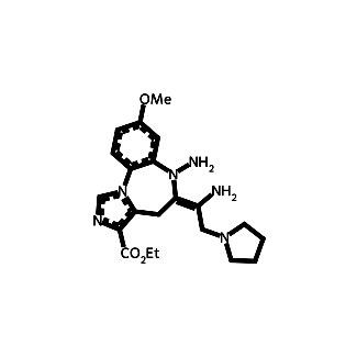 CCOC(=O)c1ncn2c1C/C(=C(/N)CN1CCCC1)N(N)c1cc(OC)ccc1-2